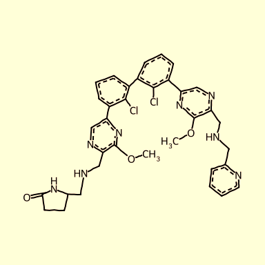 COc1nc(-c2cccc(-c3cccc(-c4cnc(CNCC5CCC(=O)N5)c(OC)n4)c3Cl)c2Cl)cnc1CNCc1ccccn1